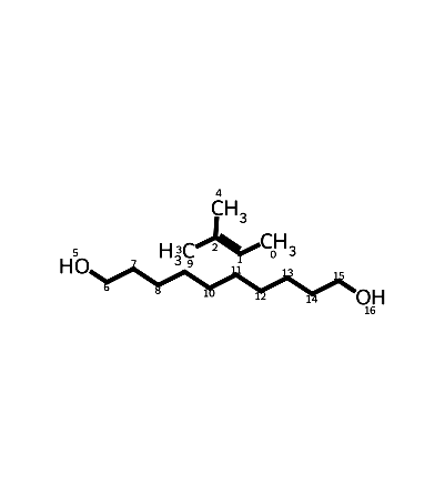 CC=C(C)C.OCCCCCCCCCCO